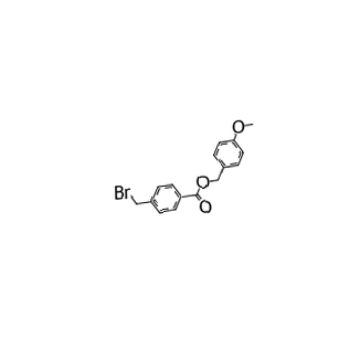 COc1ccc(COC(=O)c2ccc(CBr)cc2)cc1